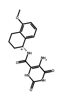 COc1cccc2c1CCC[C@H]2NC(=O)c1[nH]c(=O)[nH]c(=O)c1N